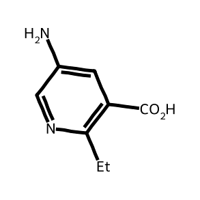 CCc1ncc(N)cc1C(=O)O